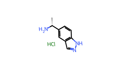 C[C@@H](N)c1ccc2[nH]ncc2c1.Cl